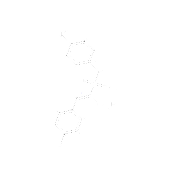 O=C(O)/C(=C\c1ccc(F)cc1)S(=O)(=O)Cc1ccc(Cl)cc1